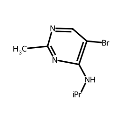 Cc1ncc(Br)c(NC(C)C)n1